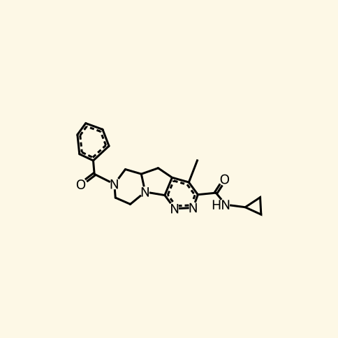 Cc1c(C(=O)NC2CC2)nnc2c1CC1CN(C(=O)c3ccccc3)CCN21